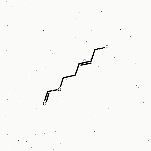 O=COCC/C=C/CF